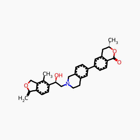 C=C1OCc2c1ccc([C@@H](O)CN1CCc3cc(-c4ccc5c(c4)C[C@H](C)OC5=O)ccc3C1)c2C